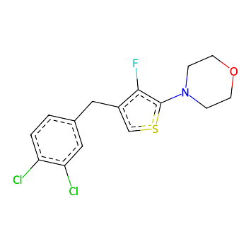 Fc1c(Cc2ccc(Cl)c(Cl)c2)csc1N1CCOCC1